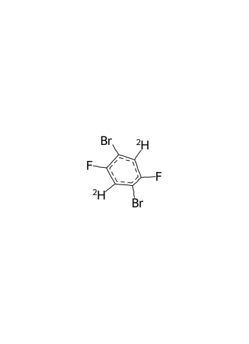 [2H]c1c(F)c(Br)c([2H])c(F)c1Br